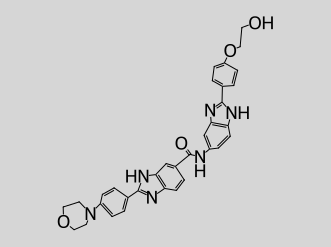 O=C(Nc1ccc2[nH]c(-c3ccc(OCCO)cc3)nc2c1)c1ccc2nc(-c3ccc(N4CCOCC4)cc3)[nH]c2c1